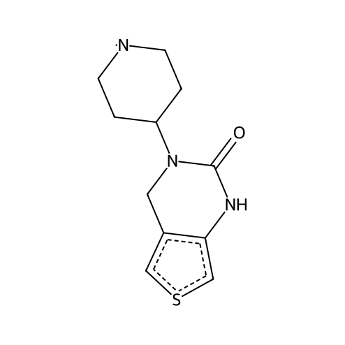 O=C1Nc2cscc2CN1C1CC[N]CC1